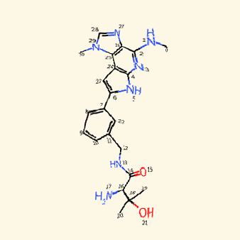 CNc1nc2[nH]c(-c3cccc(CNC(=O)[C@H](N)C(C)(C)O)c3)cc2c2c1ncn2C